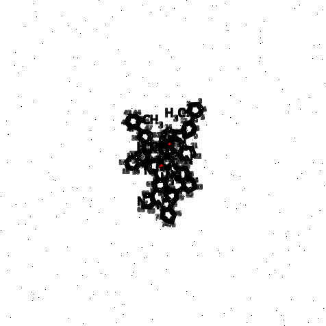 Cc1ccccc1-c1ccc2c(c1)c1ccccc1n2-c1ccncc1-c1ccc(-n2c3ccccc3c3cc(-c4ccccc4C)ccc32)c(-c2cc(-c3ccccc3)nc(-c3cc(-c4cnccc4-n4c5ccccc5c5cc(-c6ccccc6C)ccc54)ccc3-n3c4ccccc4c4cc(-c5ccccc5C)ccc43)n2)c1